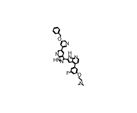 CN(C)CCOc1cc(F)cc(-c2ccnc3[nH]c(-c4n[nH]c5ncc(-c6cncc(OCc7ccccc7)c6)cc45)cc23)c1